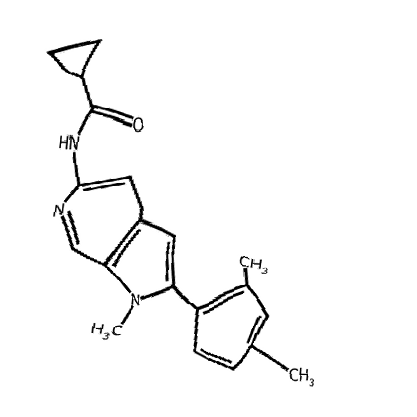 Cc1ccc(-c2cc3cc(NC(=O)C4CC4)ncc3n2C)c(C)c1